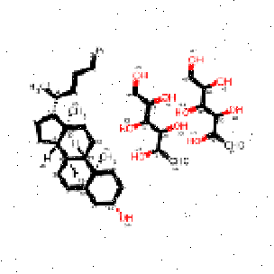 CC(C)CCCC(C)[C@H]1CC[C@H]2[C@@H]3CC=C4C[C@@H](O)CC[C@]4(C)[C@H]3CC[C@]12C.O=CC(O)C(O)C(O)C(O)CO.O=CC(O)C(O)C(O)C(O)CO